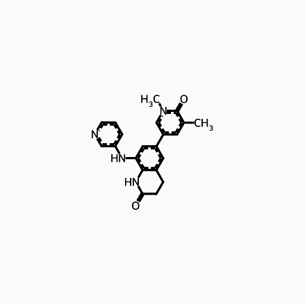 Cc1cc(-c2cc3c(c(Nc4cccnc4)c2)NC(=O)CC3)cn(C)c1=O